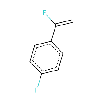 C=C(F)c1ccc(F)cc1